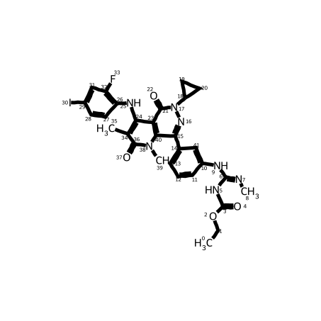 CCOC(=O)N/C(=N\C)Nc1cccc(-c2nn(C3CC3)c(=O)c3c(Nc4ccc(I)cc4F)c(C)c(=O)n(C)c23)c1